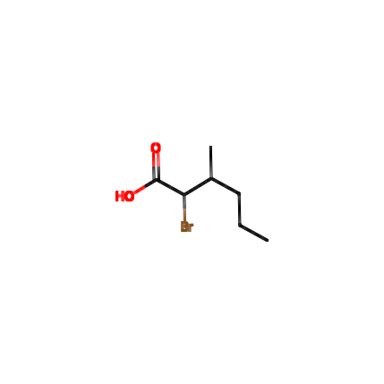 CCCC(C)C(Br)C(=O)O